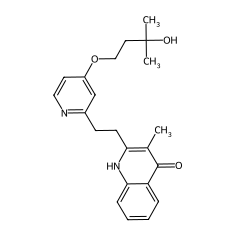 Cc1c(CCc2cc(OCCC(C)(C)O)ccn2)[nH]c2ccccc2c1=O